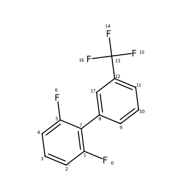 Fc1[c]ccc(F)c1-c1cccc(C(F)(F)F)c1